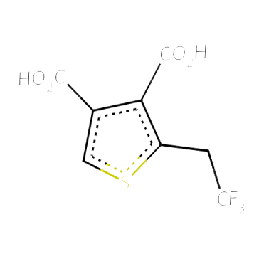 O=C(O)c1csc(CC(F)(F)F)c1C(=O)O